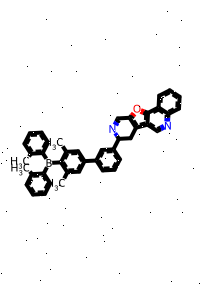 Cc1ccccc1B(c1ccccc1C)c1c(C)cc(-c2cccc(C3Cc4c(oc5c4cnc4ccccc45)C=N3)c2)cc1C